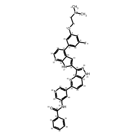 CN(C)CCOc1cc(F)cc(-c2ccnc3[nH]c(-c4n[nH]c5ccc(-c6cncc(NC(=O)c7ccccc7)c6)nc45)cc23)c1